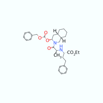 CCOC(=O)[C@H](CCc1ccccc1)N[C@@H](C)C(=O)N1C[C@H]2CCCC[C@H]2C[C@@H]1OC(=O)OCc1ccccc1